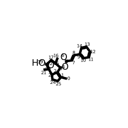 CC1=C2C(OC(=O)/C=C/c3ccccc3)C3(C)CC(O)C(C)(O3)C2CC1